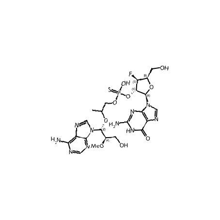 CO[C@H](CO)[C@@H](OC(C)COP(O)(=S)O[C@@H]1[C@@H](F)[C@@H](CO)O[C@H]1n1cnc2c(=O)[nH]c(N)nc21)n1cnc2c(N)ncnc21